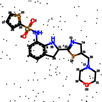 O=S(=O)(Nc1cccc2c1NC(C1=NCC(CN3CCOCC3)S1)C2)c1cccs1